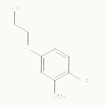 COc1cc(OCCO)ccc1OC(C)=O